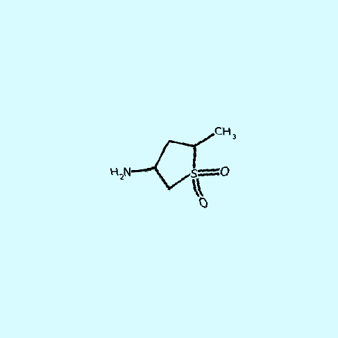 CC1CC(N)CS1(=O)=O